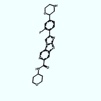 O=C(NC1CCOCC1)c1cc2sc3nc(-c4ccc(C5CNCCO5)cc4F)cn3c2cn1